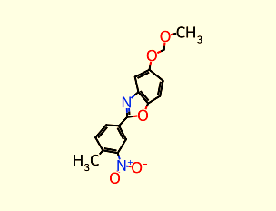 COCOc1ccc2oc(-c3ccc(C)c([N+](=O)[O-])c3)nc2c1